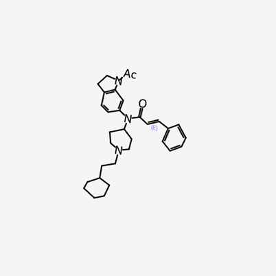 CC(=O)N1CCc2ccc(N(C(=O)/C=C/c3ccccc3)C3CCN(CCC4CCCCC4)CC3)cc21